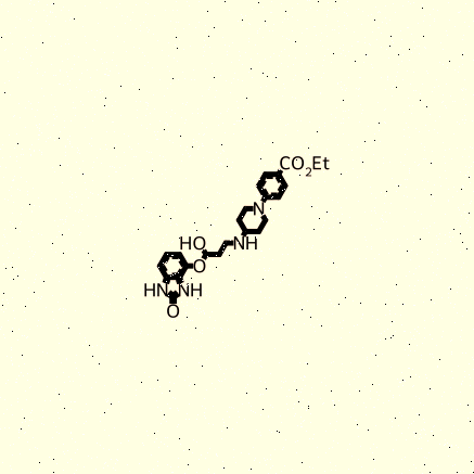 CCOC(=O)c1ccc(N2CCC(NCCC(O)Oc3cccc4[nH]c(=O)[nH]c34)CC2)cc1